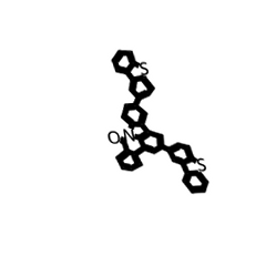 O=c1c2ccccc2c2cc(-c3ccc4sc5ccccc5c4c3)cc3c4cc(-c5ccc6sc7ccccc7c6c5)ccc4n1c23